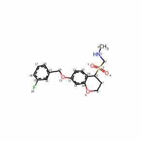 CNCS(=O)(=O)C1CCOc2cc(OCc3cccc(F)c3)ccc21